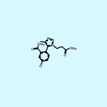 COC(=O)CCn1nnc(C)c1-c1ccc(Cl)cc1C(=O)OC